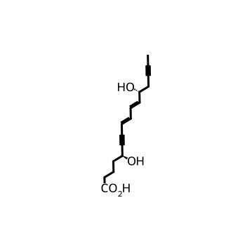 CC#CC[C@@H](O)/C=C/C=C/C#C[C@@H](O)CCCC(=O)O